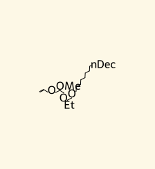 C=CCOCC(COC(CC)COCCCCCCCCCCCCCCCCCC)OC